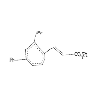 CCOC(=O)/C=C/c1ccc(C(C)C)cc1C(C)C